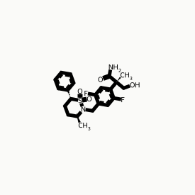 C[C@H]1CC[C@H](c2ccccc2)S(=O)(=O)N1Cc1cc(F)c([C@](C)(CO)C(N)=O)cc1F